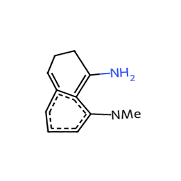 CNc1cccc2c1=C(N)CCC=2